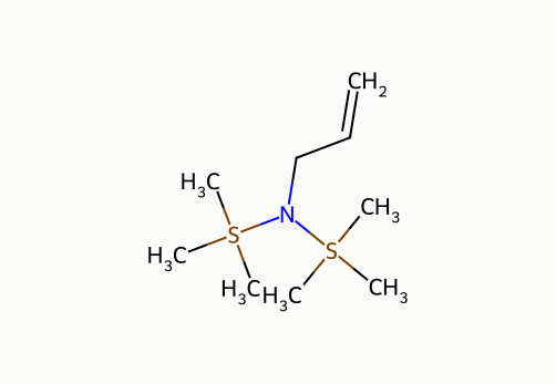 C=CCN(S(C)(C)C)S(C)(C)C